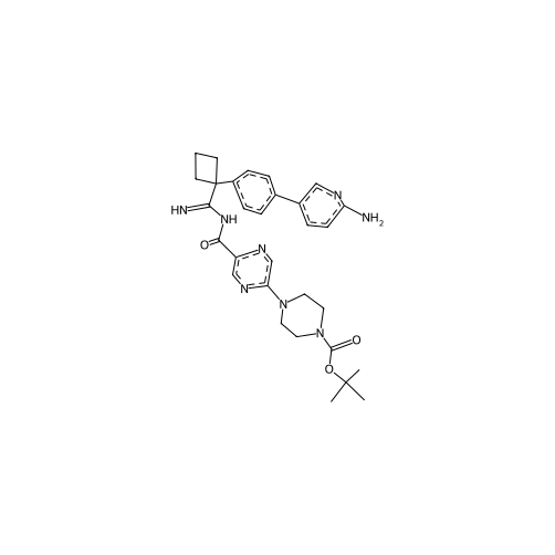 CC(C)(C)OC(=O)N1CCN(c2cnc(C(=O)NC(=N)C3(c4ccc(-c5ccc(N)nc5)cc4)CCC3)cn2)CC1